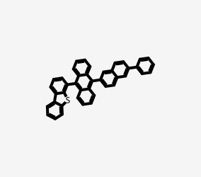 c1ccc(-c2ccc3cc(-c4c5ccccc5c(-c5cccc6c5sc5ccccc56)c5ccccc45)ccc3c2)cc1